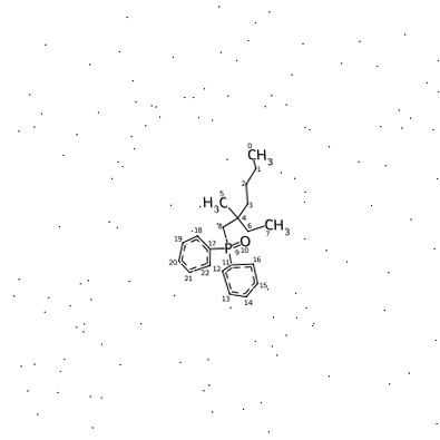 CCCCC(C)(CC)CP(=O)(c1ccccc1)c1ccccc1